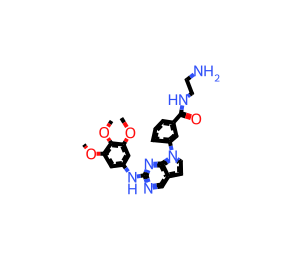 COc1cc(Nc2ncc3ccn(-c4cccc(C(=O)NCCN)c4)c3n2)cc(OC)c1OC